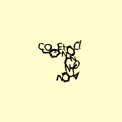 CCOC(=O)Cc1ccc(-n2c(CN3C(=O)C4(CC4)c4ccncc43)nc3cc(Cl)ccc32)cc1